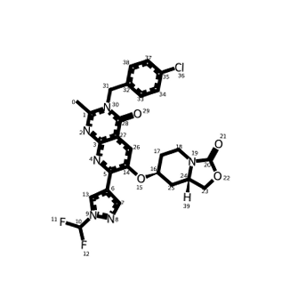 Cc1nc2nc(-c3cnn(C(F)F)c3)c(O[C@H]3CCN4C(=O)OC[C@@H]4C3)cc2c(=O)n1Cc1ccc(Cl)cc1